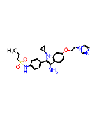 CCCS(=O)(=O)Nc1ccc(-c2c(N)c3ccc(OCCn4ccnc4)cc3n2C2CC2)cc1